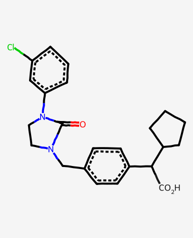 O=C(O)C(c1ccc(CN2CCN(c3cccc(Cl)c3)C2=O)cc1)C1CCCC1